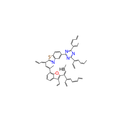 C=C\C=C/C=C(C=C)/C(=C/BC)c1oc2c(/C(C)=C/C(=C\C=C)c3nc4cc(-c5nc(/C(C=C)=C/C=C\C)nc(C(/C=C\C=C)=C/C)n5)ccc4s3)cccc2c1C=C